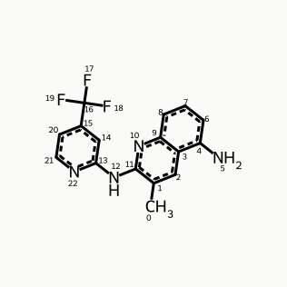 Cc1cc2c(N)cccc2nc1Nc1cc(C(F)(F)F)ccn1